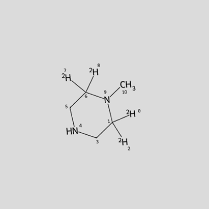 [2H]C1([2H])CNCC([2H])([2H])N1C